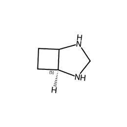 C1NC2CC[C@@H]2N1